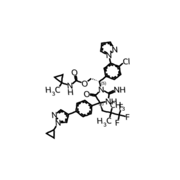 CC1(NC(=O)OC[C@H](c2ccc(Cl)c(-n3cccn3)c2)N2C(=N)N[C@](CC(C)(C)C(F)(F)F)(c3ccc(-c4cnn(C5CC5)c4)cc3)C2=O)CC1